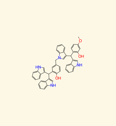 COc1ccc(C(c2c[nH]c3ccccc23)c2cn(Cc3ccc(O)c(C(c4c[nH]c5ccccc45)c4c[nH]c5ccccc45)c3)c3ccccc23)c(O)c1